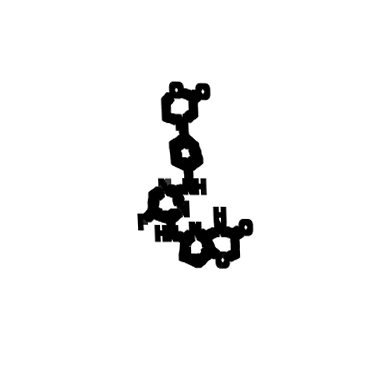 O=C1COc2ccc(Nc3nc(Nc4ccc(N5CCOC(=O)C5)cc4)ncc3F)nc2N1